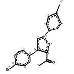 CC(=O)c1nn(-c2ccc(F)cc2)cc1-c1ccc(Br)cc1